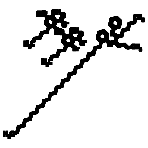 CCCCCCCCCCCCCCCCCCCCCCCCC=CCCc1ccccc1N=C(CCCC)C(CCCCCC)=Nc1ccccc1.CCCCCc1cc(O)c(O)c(C(=O)[O-])c1Br.CCCCCc1cc(O)c(O)c(C(=O)[O-])c1Br.[Ni+2]